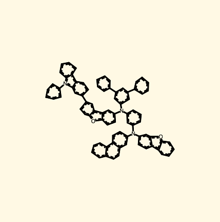 c1ccc(-c2cc(-c3ccccc3)cc(N(c3cccc(N(c4ccc5c(ccc6ccccc65)c4)c4ccc5c(c4)oc4ccccc45)c3)c3ccc4oc5ccc(-c6ccc7c8ccccc8n(-c8ccccc8)c7c6)cc5c4c3)c2)cc1